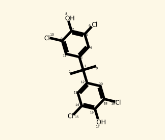 CC(C)(c1cc(Cl)c(O)c(Cl)c1)c1cc(Cl)c(O)c(Cl)c1